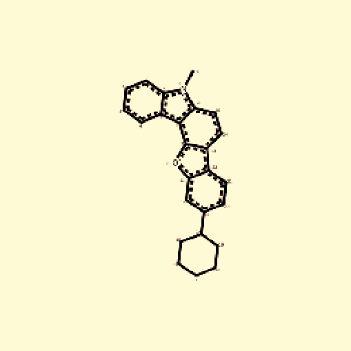 Cn1c2ccccc2c2c3oc4cc(C5CCCCC5)ccc4c3ccc21